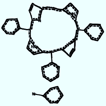 C1=Cc2nc1cc1ccc([nH]1)c(-c1ccccc1)c1nc(c(-c3ccccc3)c3ccc([nH]3)c2-c2ccccc2)C=C1.[Ni][c]1ccccc1